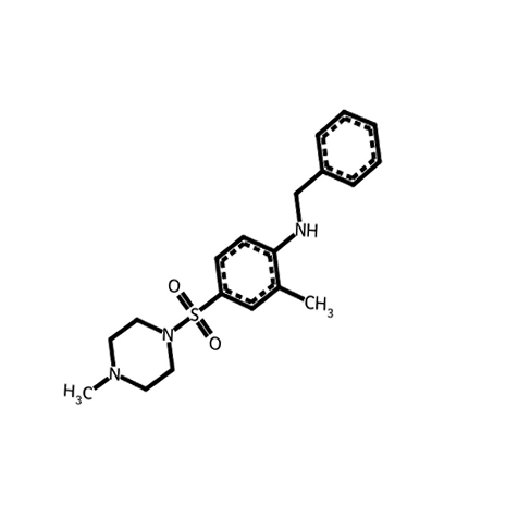 Cc1cc(S(=O)(=O)N2CCN(C)CC2)ccc1NCc1ccccc1